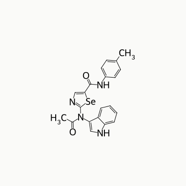 CC(=O)N(c1ncc(C(=O)Nc2ccc(C)cc2)[se]1)c1c[nH]c2ccccc12